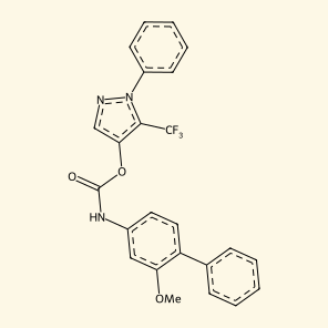 COc1cc(NC(=O)Oc2cnn(-c3ccccc3)c2C(F)(F)F)ccc1-c1ccccc1